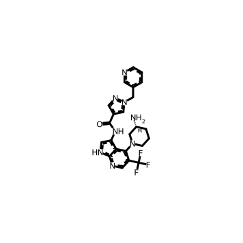 N[C@@H]1CCCN(c2c(C(F)(F)F)cnc3[nH]cc(NC(=O)c4cnn(Cc5cccnc5)c4)c23)C1